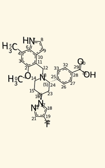 COc1cc(C)c2[nH]ccc2c1CN1CC[C@H](n2cc(F)cn2)C[C@H]1c1ccc(C(=O)O)cc1